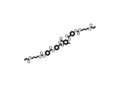 C=CC(=O)OCCCCOC(=O)Oc1ccc(C(=O)Oc2ccc(-c3nc4cc(C)c(OC(=O)c5ccc(OC(=O)OCCCCOC(=O)C=C)cc5)cc4c(=O)o3)cc2)cc1